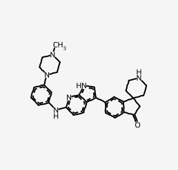 CN1CCN(c2cccc(Nc3ccc4c(-c5ccc6c(c5)C5(CCNCC5)CC6=O)c[nH]c4n3)c2)CC1